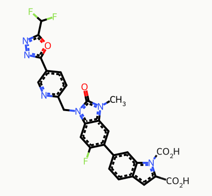 Cn1c(=O)n(Cc2ccc(-c3nnc(C(F)F)o3)cn2)c2cc(F)c(-c3ccc4cc(C(=O)O)n(C(=O)O)c4c3)cc21